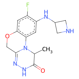 CC1C(=O)NN=C2COc3cc(F)c(NC4CNC4)cc3N21